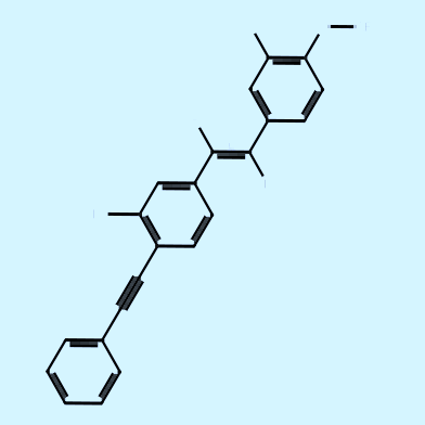 CCc1cc(/C(F)=C(\F)c2ccc(OC(F)(F)F)c(F)c2)ccc1C#Cc1ccccc1